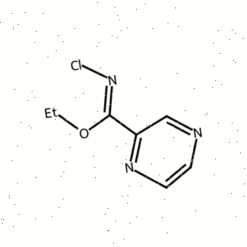 CCOC(=NCl)c1cnccn1